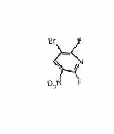 O=[N+]([O-])c1cc(Br)c(F)nc1F